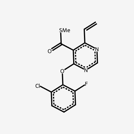 C=Cc1ncnc(Oc2c(F)cccc2Cl)c1C(=O)SC